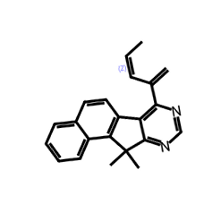 C=C(/C=C\C)c1ncnc2c1-c1ccc3ccccc3c1C2(C)C